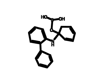 OB(O)OC1(Nc2ccccc2-c2ccccc2)C=CC=CC1